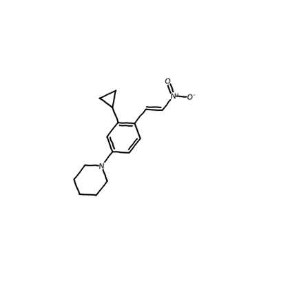 O=[N+]([O-])C=Cc1ccc(N2CCCCC2)cc1C1CC1